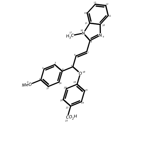 COc1ccc(C(C=Cc2nc3ccccc3n2C)Oc2ccc(C(=O)O)cc2)cc1